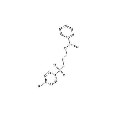 O=C(OCCCS(=O)(=O)c1ccc(Br)cc1)c1ccccc1